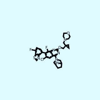 Fc1c(-c2ccc(F)c3scnc23)c(Cl)cc2c(N3CC4CCC(C3)N4)nc(OCC3(CN4CCOCC4)CC3)nc12